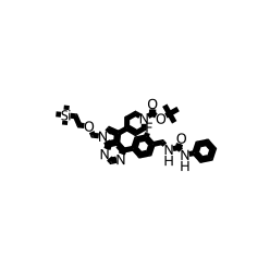 CC(C)(C)OC(=O)N1CC=C(c2cn(COCC[Si](C)(C)C)c3ncnc(-c4ccc(CNC(=O)Nc5ccccc5)c(F)c4)c23)CC1